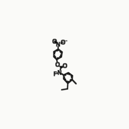 CCc1cc(N(F)C(=O)Oc2ccc([N+](=O)[O-])cc2)ccc1C